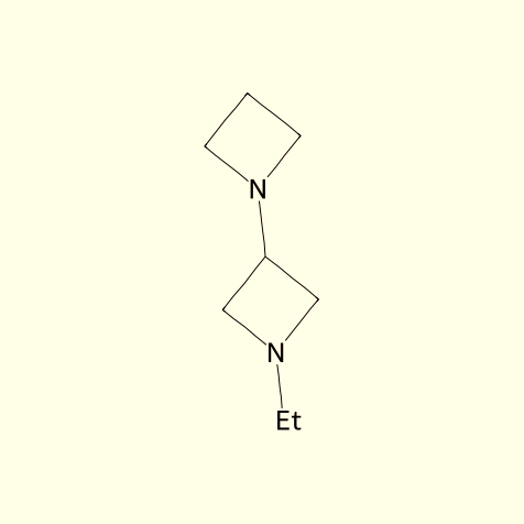 CCN1CC(N2CCC2)C1